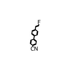 N#Cc1ccc(-c2ccc(C=CF)cc2)cc1